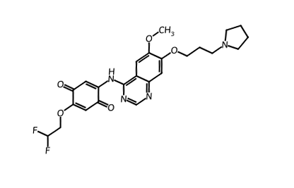 COc1cc2c(NC3=CC(=O)C(OCC(F)F)=CC3=O)ncnc2cc1OCCCN1CCCC1